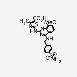 COc1cccc2c(NCc3ccc(S(N)(=O)=O)cc3)nc(Nc3nc(C)c(C(=O)O)s3)nc12